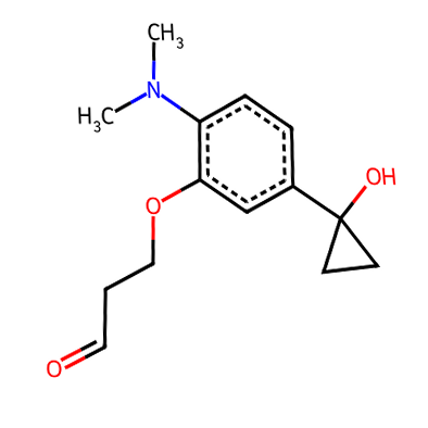 CN(C)c1ccc(C2(O)CC2)cc1OCCC=O